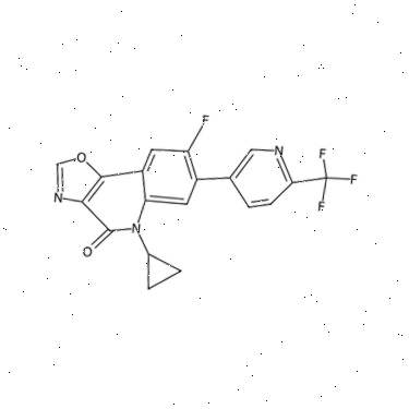 O=c1c2ncoc2c2cc(F)c(-c3ccc(C(F)(F)F)nc3)cc2n1C1CC1